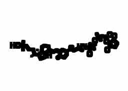 C=C1CC[C@H](OCCCNC(=O)C(C)(C)COC(C)(C)CC(=O)ON2C(=O)CCC2=O)C/C1=C/C=C1\CCC[C@]2(C)C([C@H](C)CCCC(C)(C)O)CC[C@@H]12